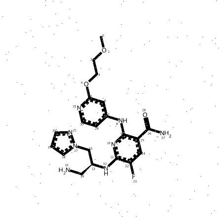 COCCOc1cc(Nc2nc(N[C@@H](CN)Cn3cccn3)c(F)cc2C(N)=O)ccn1